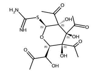 CC(=O)C(O)[C@H]1O[C@@H](SC(=N)N)[C@@](O)(C(C)=O)[C@](O)(C(C)=O)[C@]1(O)C(C)=O